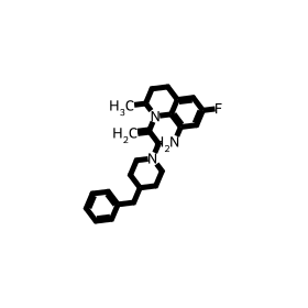 C=C(CN1CCC(Cc2ccccc2)CC1)N1c2c(N)cc(F)cc2CCC1C